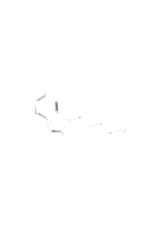 Fc1cccc2c1ccn2CCCCBr